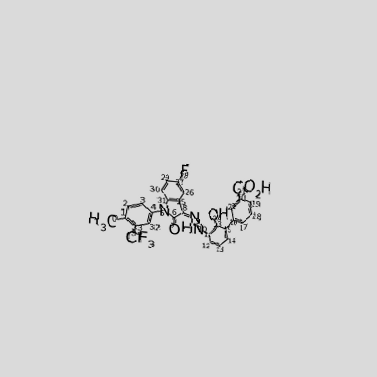 Cc1ccc(N2C(=O)/C(=N\Nc3cccc(-c4cccc(C(=O)O)c4)c3O)c3cc(F)ccc32)cc1C(F)(F)F